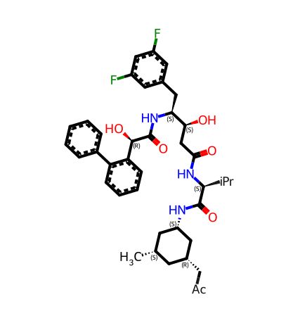 CC(=O)C[C@@H]1C[C@H](C)C[C@H](NC(=O)[C@@H](NC(=O)C[C@H](O)[C@H](Cc2cc(F)cc(F)c2)NC(=O)[C@H](O)c2ccccc2-c2ccccc2)C(C)C)C1